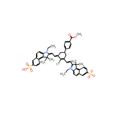 CCN1/C(=C/C=C2\CC(c3ccc(C(=O)OC)cc3)CC(/C=C/C3=[N+](CC)c4ccc5cc(S(=O)(=O)[O-])ccc5c4C3(C)C)=C2Cl)C(C)(C)c2c1ccc1cc(S(=O)(=O)O)ccc21